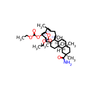 CCOC(=O)OC1=C(OC(=O)OCC)\C(C)=C\C/C=C2\[C@](C)(\C=C\1)CC[C@@]1(C)[C@@H]3C[C@](C)(C(N)=O)CC[C@]3(C)CC[C@]21C